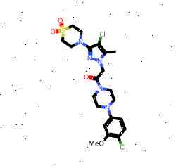 COc1cc(N2CCN(C(=O)Cn3nc(N4CCS(=O)(=O)CC4)c(Cl)c3C)CC2)ccc1Cl